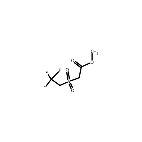 COC(=O)CS(=O)(=O)CC(F)(F)F